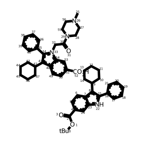 CC(C)(C)OC(=O)c1ccc2c(C3CCCCC3)c(-c3ccccc3)[nH]c2c1.CN1CCN(C(=O)Cn2c(-c3ccccc3)c(C3CCCCC3)c3ccc(C(=O)O)cc32)CC1